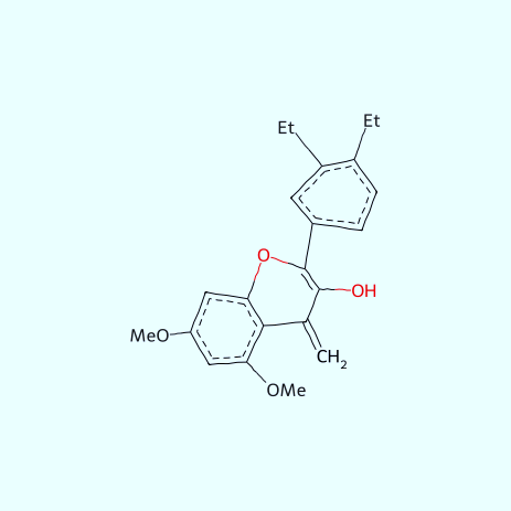 C=C1C(O)=C(c2ccc(CC)c(CC)c2)Oc2cc(OC)cc(OC)c21